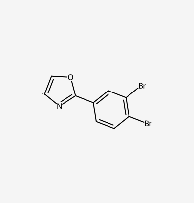 Brc1ccc(-c2n[c]co2)cc1Br